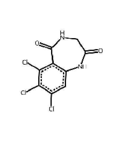 O=C1CNC(=O)c2c(cc(Cl)c(Cl)c2Cl)N1